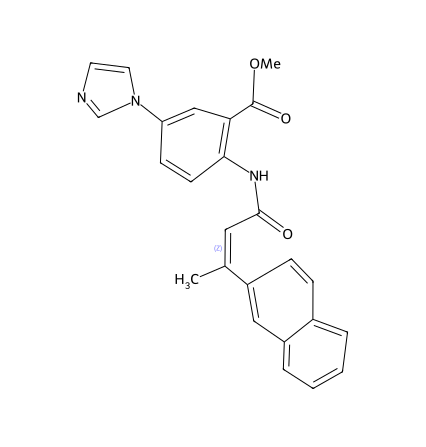 COC(=O)c1cc(-n2ccnc2)ccc1NC(=O)/C=C(/C)c1ccc2ccccc2c1